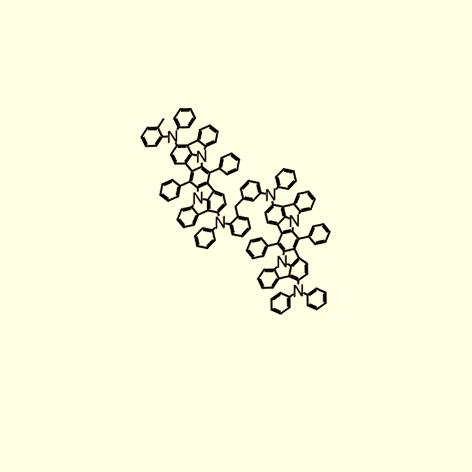 Cc1ccccc1N(c1ccccc1)c1ccc2c3c(-c4ccccc4)c4c(c(-c5ccccc5)c3n3c5ccccc5c1c23)c1ccc(N(c2ccccc2)c2ccccc2Cc2cccc(N(c3ccccc3)c3ccc5c6c(-c7ccccc7)c7c(c(-c8ccccc8)c6n6c8ccccc8c3c56)c3ccc(N(c5ccccc5)c5ccccc5)c5c6ccccc6n7c35)c2)c2c3ccccc3n4c12